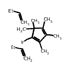 C=CCC.C=CCC.CC1=C(C)C(C)(C)[C]([Ir])=C1C